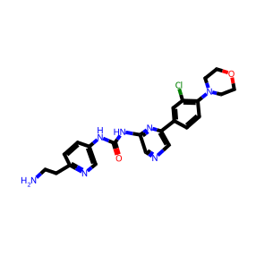 NCCc1ccc(NC(=O)Nc2cncc(-c3ccc(N4CCOCC4)c(Cl)c3)n2)cn1